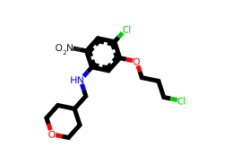 O=[N+]([O-])c1cc(Cl)c(OCCCCl)cc1NCC1CCOCC1